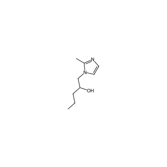 CCCC(O)Cn1ccnc1C